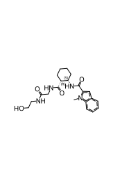 Cn1c(C(=O)N[C@H]2CCCC[C@H]2C(=O)NCC(=O)NCCO)cc2ccccc21